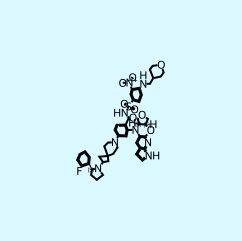 O=C(NS(=O)(=O)c1ccc(NCC2CCOCC2)c([N+](=O)[O-])c1)c1ccc(N2CCC3(CC2)CC(N2CCC[C@H]2c2ccccc2F)C3)cc1N1c2cc3cc[nH]c3nc2O[C@@H]2COC[C@H]21